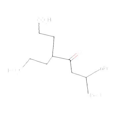 CCCCCC(CCC)CC(=O)C(CCC(=O)O)CCC(=O)O